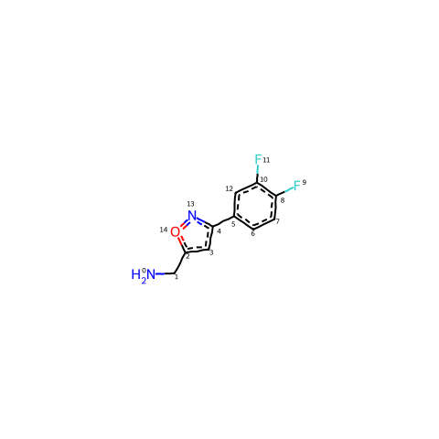 NCc1cc(-c2ccc(F)c(F)c2)no1